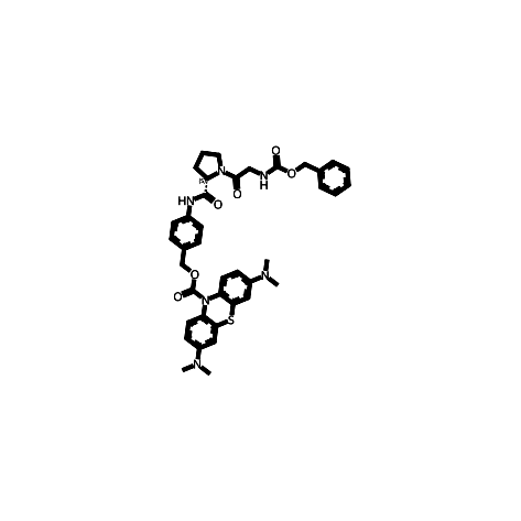 CN(C)c1ccc2c(c1)Sc1cc(N(C)C)ccc1N2C(=O)OCc1ccc(NC(=O)[C@@H]2CCCN2C(=O)CNC(=O)OCc2ccccc2)cc1